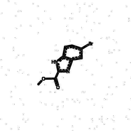 COC(=O)c1nc2cc(Br)ccc2[nH]1